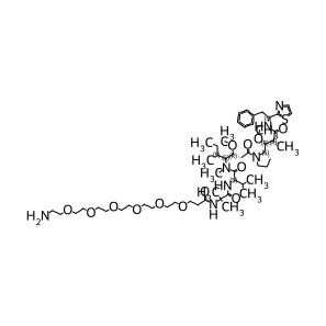 CC[C@H](C)[C@@H]([C@@H](CC(=O)N1CCC[C@H]1[C@H](OC)[C@@H](C)C(=O)N[C@@H](Cc1ccccc1)c1nccs1)OC)N(C)C(=O)[C@@H](NC(=O)C(C)(C)NC(=O)CCOCCOCCOCCOCCOCCOCCN)C(C)C